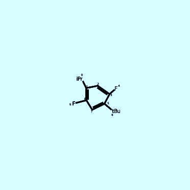 CC(C)c1cc(F)c(C(C)(C)C)cc1F